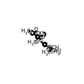 COc1cc2c3c(c(=O)oc2c(C2OCCCO2)c1OCc1ccc(B2OC(C)(C)C(C)(C)O2)cc1)CN(C)CC3